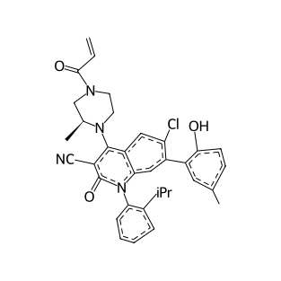 C=CC(=O)N1CCN(c2c(C#N)c(=O)n(-c3ccccc3C(C)C)c3cc(-c4cc(C)ccc4O)c(Cl)cc23)[C@@H](C)C1